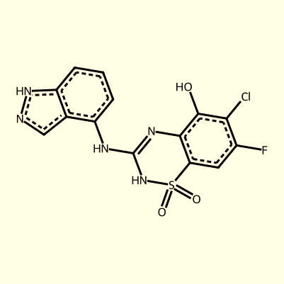 O=S1(=O)NC(Nc2cccc3[nH]ncc23)=Nc2c1cc(F)c(Cl)c2O